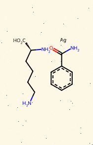 NC(=O)c1ccccc1.NCCCC[C@H](N)C(=O)O.[Ag]